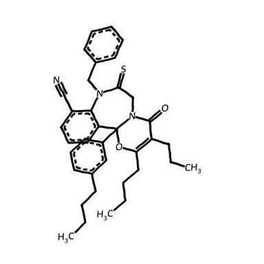 CCCCC1=C(CCC)C(=O)N2CC(=S)N(Cc3ccccc3)c3c(C#N)cccc3C2(c2cccc(CCCC)c2)O1